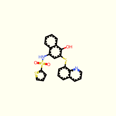 O=S(=O)(Nc1cc(Sc2cccc3cccnc23)c(O)c2ccccc12)c1cccs1